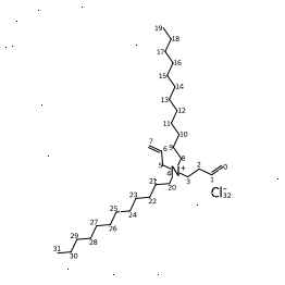 C=CCC[N+](CC=C)(CCCCCCCCCCCC)CCCCCCCCCCCC.[Cl-]